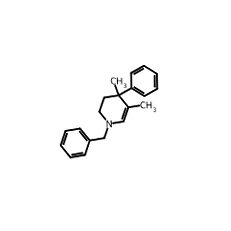 CC1=CN(Cc2ccccc2)CCC1(C)c1ccccc1